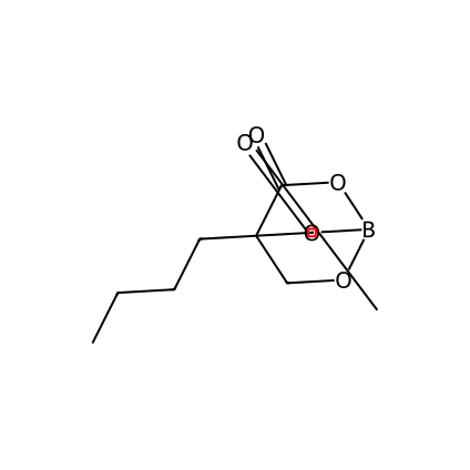 CCCCC12COB(OC1=O)OC2=O